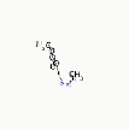 CC/C=C\C/C=C\C/C=C\CCCCCCCC(=O)OCCOCCOCCC